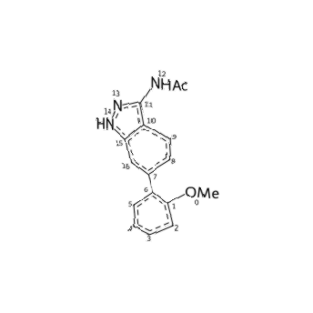 COc1ccccc1-c1ccc2c(NC(C)=O)n[nH]c2c1